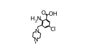 CN1CCN(Cc2cc(Cl)cc(C(=O)O)c2N)CC1